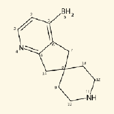 Bc1ccnc2c1CC1(CCNCC1)C2